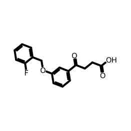 O=C(O)CCC(=O)c1cccc(OCc2ccccc2F)c1